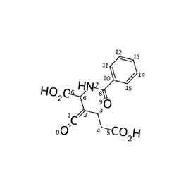 O=C=C(CCC(=O)O)C(NC(=O)c1ccccc1)C(=O)O